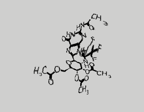 CC(=O)Nc1nc2[nH]c([C@@H]3O[C@H](COC(C)=O)[C@@H](OC(C)=O)[C@H](OC(C)=O)[C@H]3NC(=O)C(F)(F)F)nc2c(=O)[nH]1